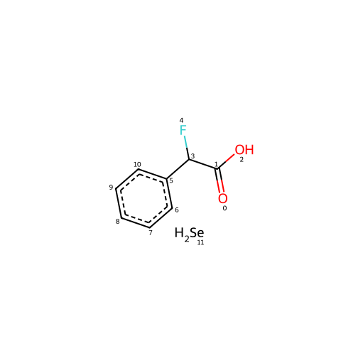 O=C(O)C(F)c1ccccc1.[SeH2]